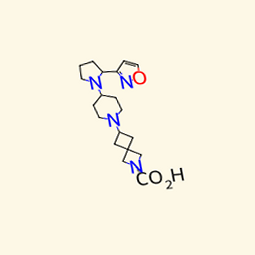 O=C(O)N1CC2(CC(N3CCC(N4CCCC4c4ccon4)CC3)C2)C1